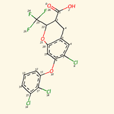 O=C(O)C1Cc2cc(Cl)c(Oc3cccc(Cl)c3Cl)cc2OC1C(F)(F)F